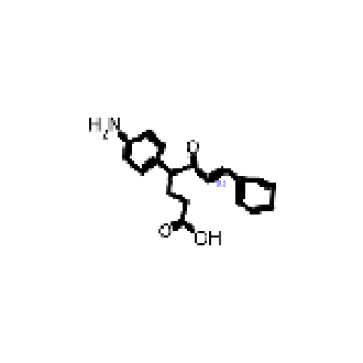 Nc1ccc(C(CCC(=O)O)C(=O)/C=C/c2ccccc2)cc1